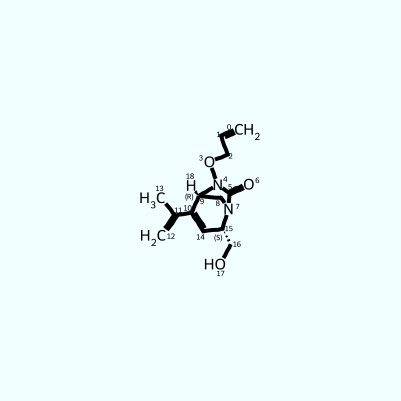 C=CCON1C(=O)N2C[C@H]1C(C(=C)C)=C[C@H]2CO